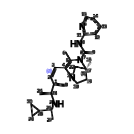 C=C(/C=C\C1=C(C)N(C(=C)Nc2ccccn2)[C@@]2(C)CCN1C2)C(=C)NC(C)C1CC1